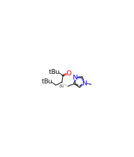 Cn1cnc(C[C@H](CC(C)(C)C)C(=O)C(C)(C)C)c1